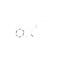 CSCCN1Cc2ccccc2NC1=O